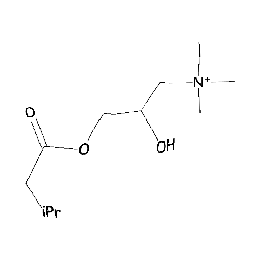 CC(C)CC(=O)OCC(O)C[N+](C)(C)C